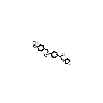 COc1ccc(C[S+]([O-])c2ccc(C(Cl)Cn3ccnc3)cc2)cc1